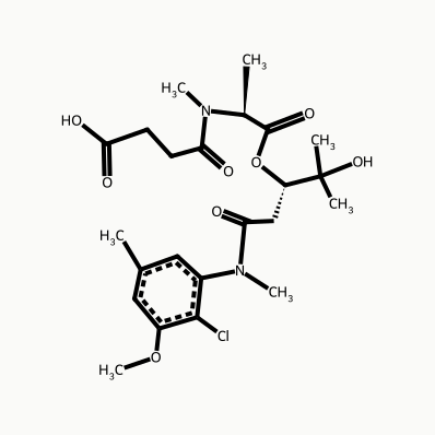 COc1cc(C)cc(N(C)C(=O)C[C@H](OC(=O)[C@H](C)N(C)C(=O)CCC(=O)O)C(C)(C)O)c1Cl